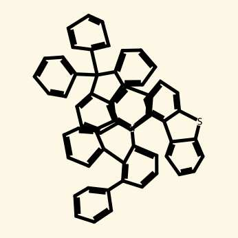 c1ccc(-c2ccccc2-c2c(-c3ccccc3)cccc2N(c2cccc3c2-c2ccccc2C3(c2ccccc2)c2ccccc2)c2cccc3sc4ccccc4c23)cc1